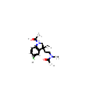 CC(=O)N(C)CCC1(C)CN(C(C)=O)c2ccc(Br)cc21